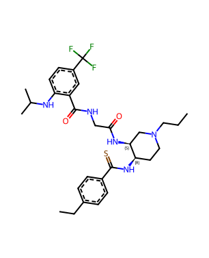 CCCN1CC[C@@H](NC(=S)c2ccc(CC)cc2)[C@@H](NC(=O)CNC(=O)c2cc(C(F)(F)F)ccc2NC(C)C)C1